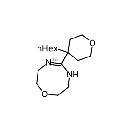 CCCCCCC1(/C2=N/CCOCCN2)CCOCC1